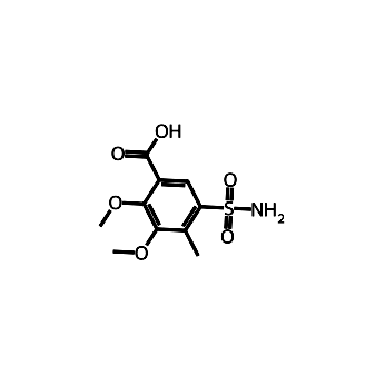 COc1c(C(=O)O)cc(S(N)(=O)=O)c(C)c1OC